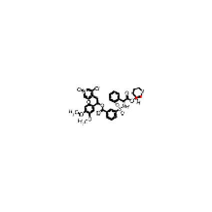 COc1ccc(C(Cc2c(Cl)c[n+]([O-])cc2Cl)OC(=O)c2cccc(S(=O)(=O)N[C@H](C(=O)O[C@H]3CN4CCC3CC4)c3ccccc3)c2)cc1OC